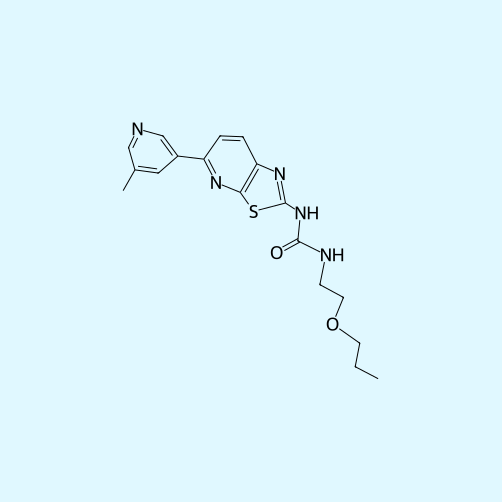 CCCOCCNC(=O)Nc1nc2ccc(-c3cncc(C)c3)nc2s1